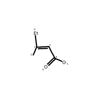 CCC(C)=CC([O])=O